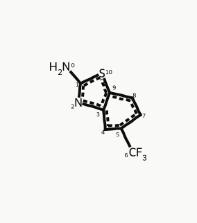 Nc1nc2cc(C(F)(F)F)ccc2s1